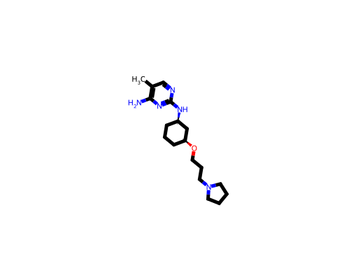 Cc1cnc(N[C@@H]2CCC[C@H](OCCCN3CCCC3)C2)nc1N